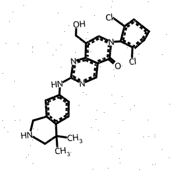 CC1(C)CNCc2cc(Nc3ncc4c(=O)n(-c5c(Cl)cccc5Cl)cc(CO)c4n3)ccc21